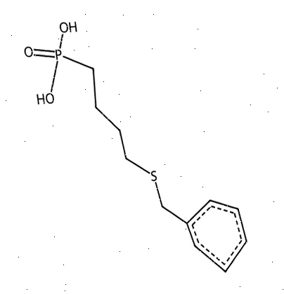 O=P(O)(O)CCCCSCc1ccccc1